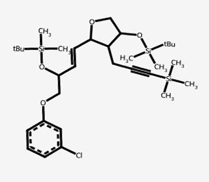 CC(C)(C)[Si](C)(C)OC(C=CC1OCC(O[Si](C)(C)C(C)(C)C)C1CC#C[Si](C)(C)C)COc1cccc(Cl)c1